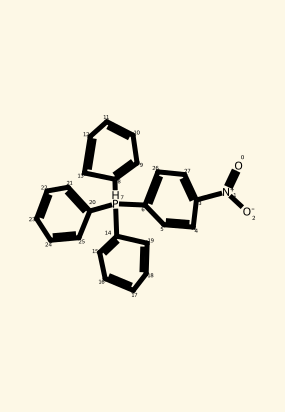 O=[N+]([O-])c1ccc([PH](c2ccccc2)(c2ccccc2)c2ccccc2)cc1